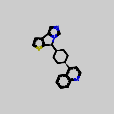 c1ccc2c(c1)nccc2[C@H]1CC[C@H]([C@H]2c3sccc3-c3cncn32)CC1